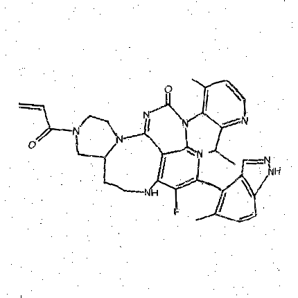 C=CC(=O)N1CCN2c3nc(=O)n(-c4c(C)ccnc4C(C)C)c4nc(-c5c(C)ccc6[nH]ncc56)c(F)c(c34)NCCC2C1